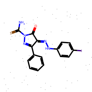 NC(=S)N1N=C(c2ccccc2)/C(=N\Nc2ccc(I)cc2)C1=O